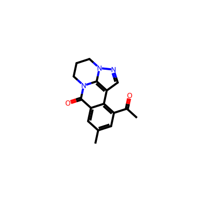 CC(=O)c1cc(C)cc2c(=O)n3c4c(cnn4CCC3)c12